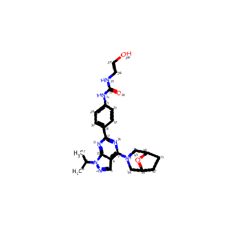 CC(C)n1ncc2c(N3CC4CCC(C3)O4)nc(-c3ccc(NC(=O)NCCO)cc3)nc21